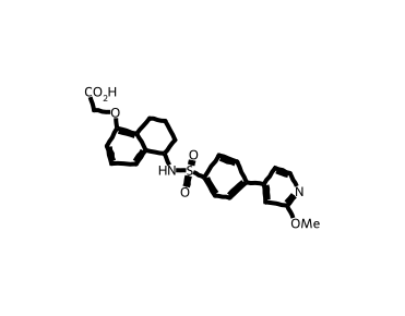 COc1cc(-c2ccc(S(=O)(=O)NC3CCCc4c(OCC(=O)O)cccc43)cc2)ccn1